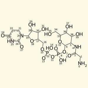 NCC(=O)NC1C(OP(=O)(O)OP(=O)(O)OCC2OC(n3ccc(=O)[nH]c3=O)C(O)C2O)OC(CO)C(O)C1O